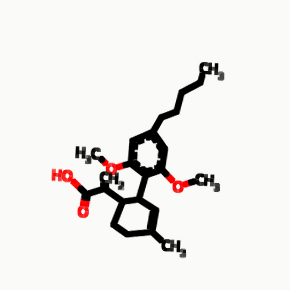 C=C(C(=O)O)C1CCC(C)=CC1c1c(OC)cc(CCCCC)cc1OC